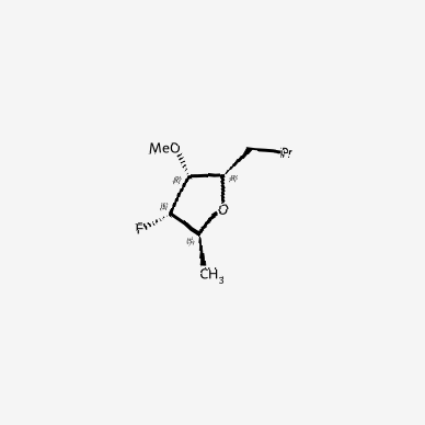 CO[C@H]1[C@@H](F)[C@H](C)O[C@@H]1CC(C)C